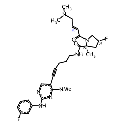 CNc1nc(Nc2cccc(F)c2)ncc1C#CCCCNC(=O)[C@]1(C)C[C@H](F)CN1C(=O)/C=C/CN(C)C